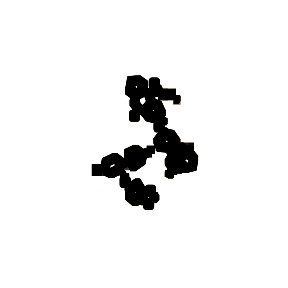 COc1ccc(C(CN(C)C)C2(O)CCCCC2)cc1.Fc1ccc([C@@H]2CCNC[C@H]2COc2ccc3c(c2)OCO3)cc1.NC(=O)N1c2ccccc2CC(=O)c2ccccc21